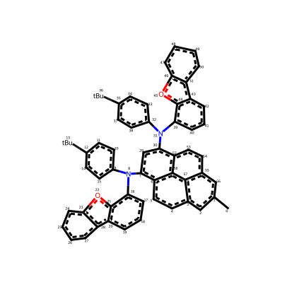 Cc1cc2ccc3c(N(c4ccc(C(C)(C)C)cc4)c4cccc5c4oc4ccccc45)cc(N(c4ccc(C(C)(C)C)cc4)c4cccc5c4oc4ccccc45)c4ccc(c1)c2c34